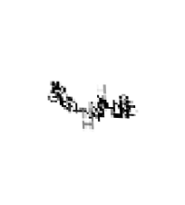 CC(C)(C)OC(=O)N1CCN(CCNc2ncc3c(-c4ccnc(S(C)(=O)=O)n4)n[nH]c3n2)CC1